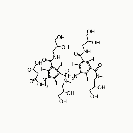 CN(CC(O)CO)C(=O)c1c(I)c(N)c(I)c(C(=O)NCC(O)CO)c1I.CN(CC(O)CO)C(=O)c1c(I)c(N)c(I)c(C(=O)NCC(O)CO)c1I.O=C(O)CC(=O)O